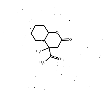 C=C(C)C1(C)CC(=O)OC2CCCCC21